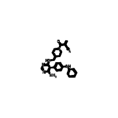 C=C(C#N)C(=O)N1CCC(CNc2ncnc(N)c2-c2ccc(Nc3ccccc3)cc2)CC1